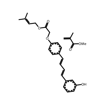 C=C(C)C(=O)OC.CC(C)=CCOC(=O)COc1ccc(C=CC=Cc2cccc(O)c2)cc1